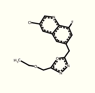 CCOCc1nnc(Cc2cc(F)c3ncc(Cl)cc3c2)o1